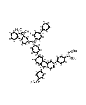 CC(C)Oc1ccc(-n2c3ccc(-c4ccc(C(CC(C)(C)C)C(C)(C)C)cc4)cc3c3cc(-c4ccc(N(c5ccc(-c6ccccc6)cc5)c5ccc6c(c5)C(C)(C)c5ccccc5-6)cc4)ccc32)cc1